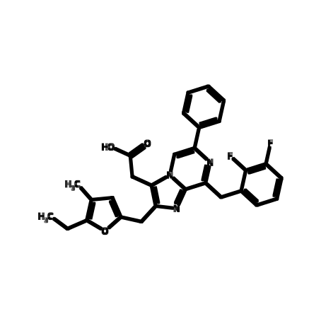 CCc1oc(Cc2nc3c(Cc4cccc(F)c4F)nc(-c4ccccc4)cn3c2CC(=O)O)cc1C